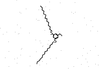 CCCCCCCCCCCCCCSc1cc(CC)cc(SCCCCCCCCCCCCCC)c1